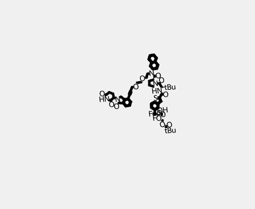 CC(C)(C)C(=O)OCOP(=O)(O)C(F)(F)c1ccc2sc(C(=O)N[C@H](C(=O)N3CCC[C@H]3C(=O)N(CCOCCOCC#Cc3cccc4c3CN(C3CCC(=O)NC3=O)C4=O)c3ccc4ccccc4c3)C(C)(C)C)cc2c1